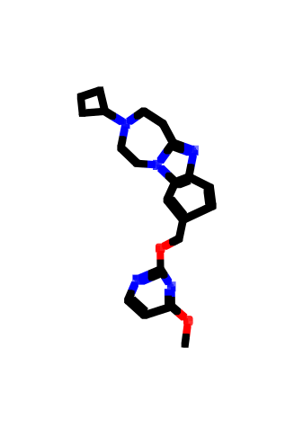 COc1ccnc(OCc2ccc3nc4n(c3c2)CCN(C2CCC2)CC4)n1